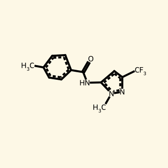 Cc1ccc(C(=O)Nc2cc(C(F)(F)F)nn2C)cc1